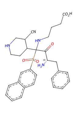 N#CC1CNCCC1C(NCCCC(=O)O)(C(=O)[C@@H](N)Cc1ccccc1)S(=O)(=O)c1ccc2ccccc2c1